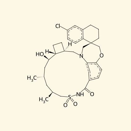 C[C@H]1C[C@H](C)CS(=O)(=O)NC(=O)c2ccc3c(c2)N(C[C@@H]2CC[C@H]2[C@H](O)C1)C[C@@]1(CCCc2cc(Cl)ccc21)CO3